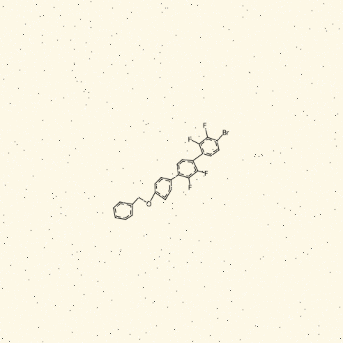 Fc1c(Br)ccc(-c2ccc(-c3ccc(OCc4ccccc4)cc3)c(F)c2F)c1F